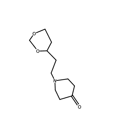 O=C1CCN(CCC2CCOCO2)CC1